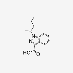 CCCC(C)n1nc(C(=O)O)c2ccccc21